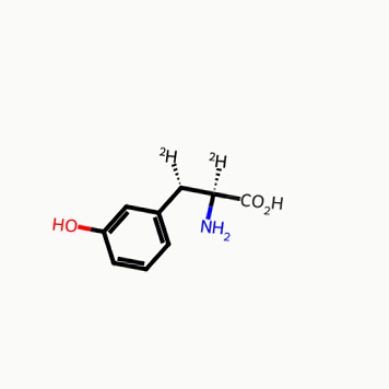 [2H][C@@H](c1cccc(O)c1)[C@]([2H])(N)C(=O)O